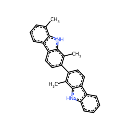 Cc1c(-c2ccc3c([nH]c4c(C)cccc43)c2C)ccc2c1[nH]c1ccccc12